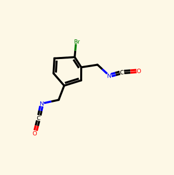 O=C=NCc1ccc(Br)c(CN=C=O)c1